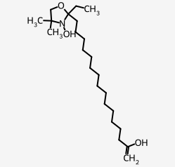 C=C(O)CCCCCCCCCCCCCCC1(CC)OCC(C)(C)N1O